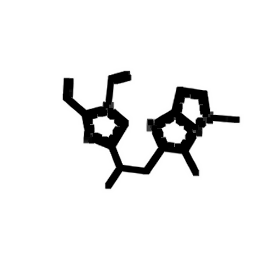 C=Cc1nc(C(C)Cc2nc3ccn(C)n3c2C)cn1C=C